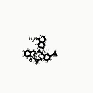 Nc1nccc2cc(NC(OC(=O)C(F)(F)F)(C(=O)NCc3ccccc3S(=O)(=O)C3CC3)c3cccc(C4CC4)c3)ccc12